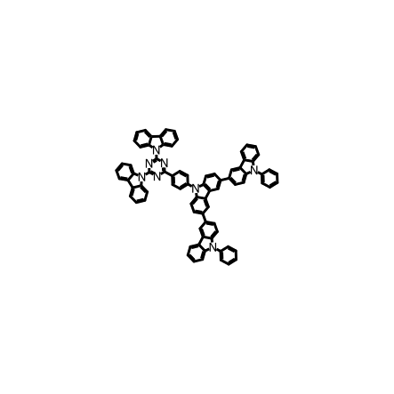 c1ccc(-n2c3ccccc3c3cc(-c4ccc5c(c4)c4cc(-c6ccc7c(c6)c6ccccc6n7-c6ccccc6)ccc4n5-c4ccc(-c5nc(-n6c7ccccc7c7ccccc76)nc(-n6c7ccccc7c7ccccc76)n5)cc4)ccc32)cc1